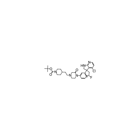 CC(C)(C)OC(=O)N1CCC(CCN2CCN(c3cccc(C4(CC(F)F)CNc5nccc(Cl)c54)c3)C(=O)C2)CC1